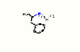 CC(C)=O.NC(Cc1ccccc1)C(=O)O.[CaH2]